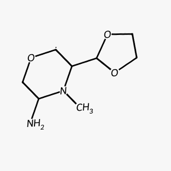 CN1C(N)CO[CH]C1C1OCCO1